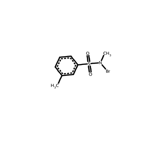 Cc1cccc(S(=O)(=O)N(C)Br)c1